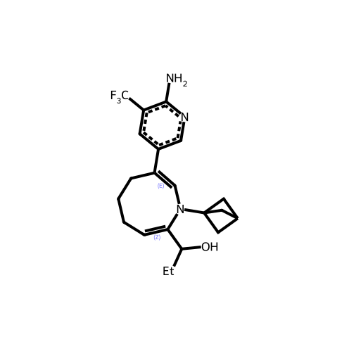 CCC(O)/C1=C/CCC/C(c2cnc(N)c(C(F)(F)F)c2)=C\N1C12CC(C1)C2